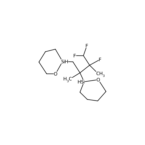 CC(F)(C(F)F)C(C)(C[SiH]1CCCCO1)[SiH]1CCCCO1